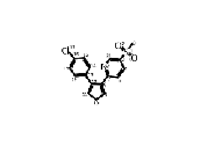 CS(=O)(=O)c1ccc(C2=CCC=C2c2ccc(Cl)cc2)nc1